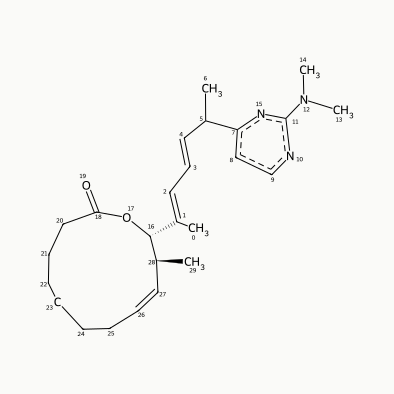 C/C(=C\C=C\C(C)c1ccnc(N(C)C)n1)[C@H]1OC(=O)CCCCCC/C=C/[C@@H]1C